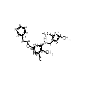 Cc1nc(C)c(CNc2nc(OCCc3cccnc3)nc(Cl)c2C)s1